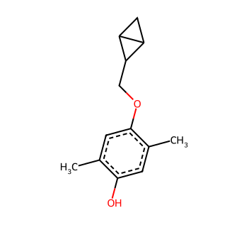 Cc1cc(OCC2C3CC23)c(C)cc1O